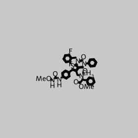 CONC(=O)Nc1ccc(-c2sc3c(c2CN(C)C(C(=O)OC)c2ccccc2)c(=O)n(-c2ccccc2)c(=O)n3Cc2c(F)cccc2F)cc1